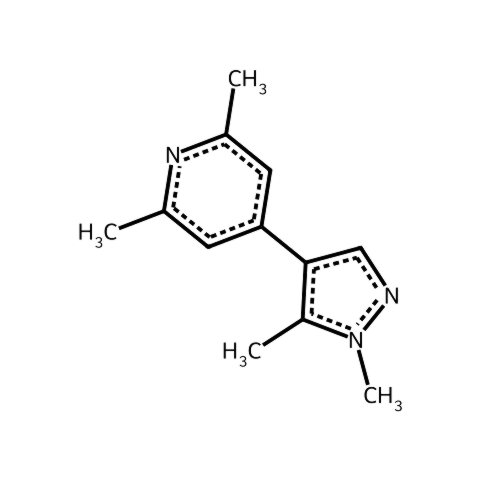 Cc1cc(-c2cnn(C)c2C)cc(C)n1